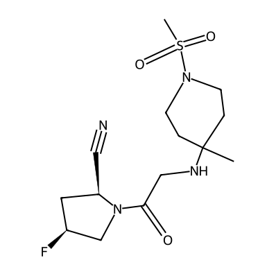 CC1(NCC(=O)N2C[C@@H](F)C[C@H]2C#N)CCN(S(C)(=O)=O)CC1